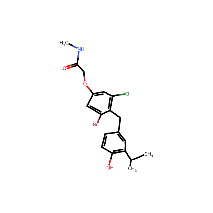 CNC(=O)COc1cc(Cl)c(Cc2ccc(O)c(C(C)C)c2)c(Br)c1